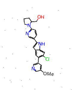 COc1cncc(-c2cc3cc(-c4ccc(N5CCCC5CO)nc4)[nH]c3cc2Cl)c1